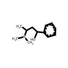 CC(CC(O)c1ccccc1)N(C)C